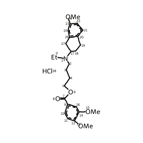 CCN(CCCCOC(=O)c1ccc(OC)c(OC)c1)C1CCc2ccc(OC)cc2C1.Cl